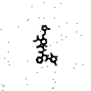 Cn1nnnc1SCC1=C(C(=O)O)N2C(=O)C(NC(=O)C(NC(=O)c3cc(Cl)n[nH]c3=O)c3ccccc3)[C@@H]2SC1